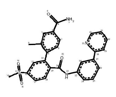 Cc1cc(C(N)=O)ccc1-c1cc(S(C)(=O)=O)ccc1C(=O)Nc1cccc(-c2ccccn2)c1